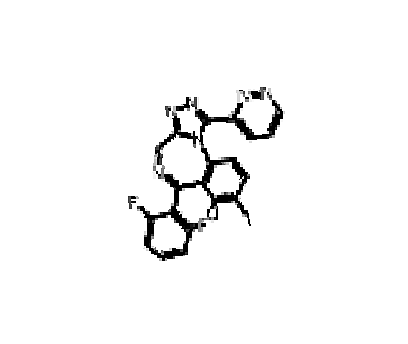 Fc1cccc(F)c1C1=NCc2nnc(-c3cccnn3)n2-c2ccc(I)c(Cl)c21